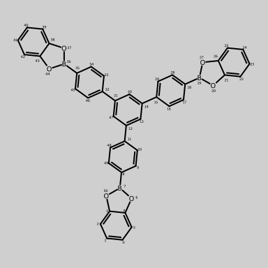 c1ccc2c(c1)OB(c1ccc(-c3cc(-c4ccc(B5Oc6ccccc6O5)cc4)cc(-c4ccc(B5Oc6ccccc6O5)cc4)c3)cc1)O2